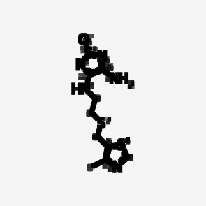 Cc1ncsc1CSCCNc1n[s+]([O-])nc1N